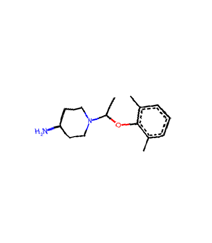 Cc1cccc(C)c1OC(C)N1CCC(N)CC1